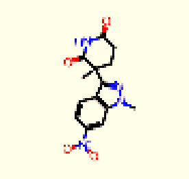 Cn1nc(C2(C)CCC(=O)NC2=O)c2ccc([N+](=O)[O-])cc21